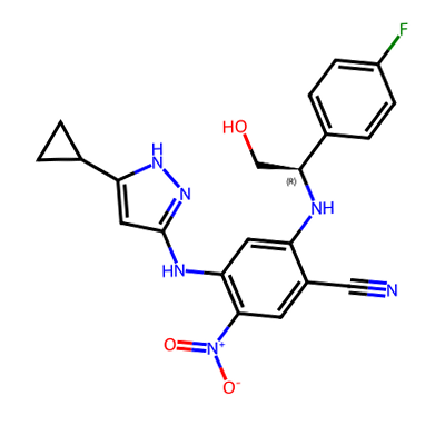 N#Cc1cc([N+](=O)[O-])c(Nc2cc(C3CC3)[nH]n2)cc1N[C@@H](CO)c1ccc(F)cc1